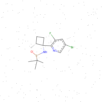 C[C@@H]1CC[C@@]1(N[S+]([O-])C(C)(C)C)c1ncc(Br)cc1F